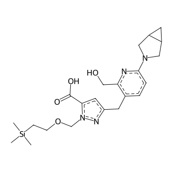 C[Si](C)(C)CCOCn1nc(Cc2ccc(N3CC4CC4C3)nc2CO)cc1C(=O)O